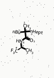 CCCCCCCC(C)(CCCC)C(=O)N[C@@H](C)C(F)(F)F